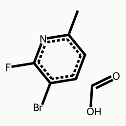 Cc1ccc(Br)c(F)n1.O=CO